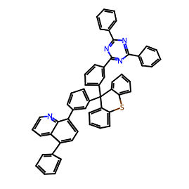 c1ccc(-c2nc(-c3ccccc3)nc(-c3cccc(C4(c5cccc(-c6ccc(-c7ccccc7)c7cccnc67)c5)c5ccccc5Sc5ccccc54)c3)n2)cc1